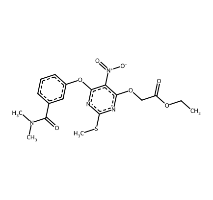 CCOC(=O)COc1nc(SC)nc(Oc2cccc(C(=O)N(C)C)c2)c1[N+](=O)[O-]